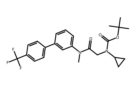 CN(C(=O)CN(C(=O)OC(C)(C)C)C1CC1)c1cccc(-c2ccc(C(F)(F)F)cc2)c1